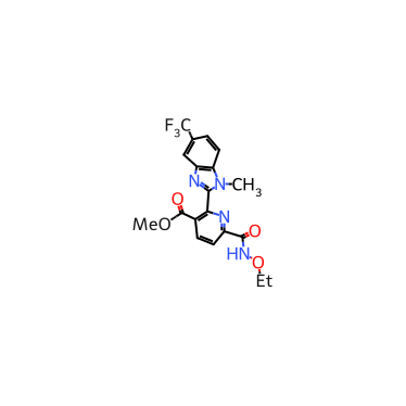 CCONC(=O)c1ccc(C(=O)OC)c(-c2nc3cc(C(F)(F)F)ccc3n2C)n1